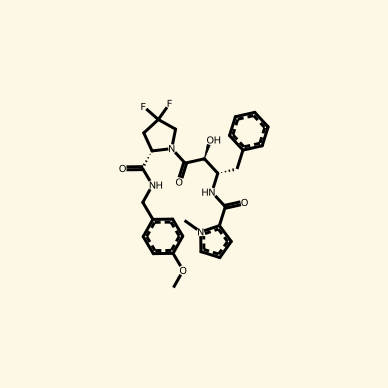 COc1ccc(CNC(=O)[C@@H]2CC(F)(F)CN2C(=O)[C@@H](O)[C@H](Cc2ccccc2)NC(=O)c2cccn2C)cc1